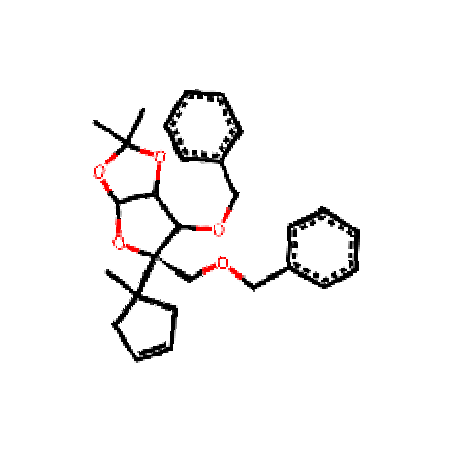 CC1(C)OC2O[C@@](COCc3ccccc3)(C3(C)CC=CC3)C(OCc3ccccc3)C2O1